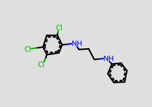 Clc1cc(Cl)c(NCCCNc2ccccc2)cc1Cl